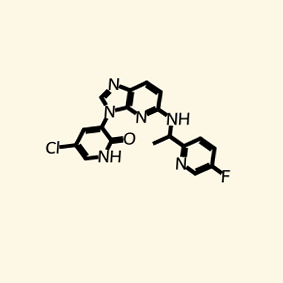 CC(Nc1ccc2ncn(-c3cc(Cl)c[nH]c3=O)c2n1)c1ccc(F)cn1